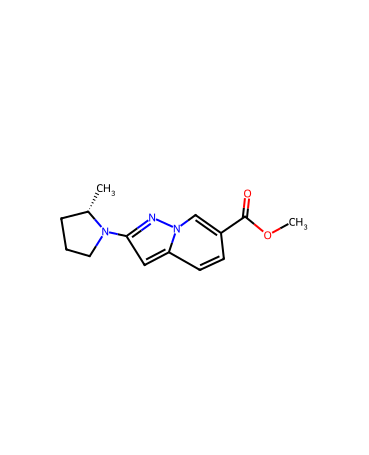 COC(=O)c1ccc2cc(N3CCC[C@@H]3C)nn2c1